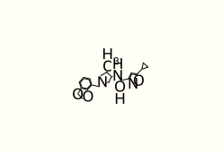 C[C@@H]1CN(Cc2cccc3c2OCO3)C[C@H]1NC(O)c1cc(C2CC2)on1